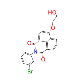 O=C1c2cccc3c(OCCO)ccc(c23)C(=O)N1c1cccc(Br)c1